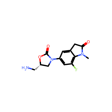 CN1C(=O)Cc2cc(N3C[C@H](CN)OC3=O)cc(F)c21